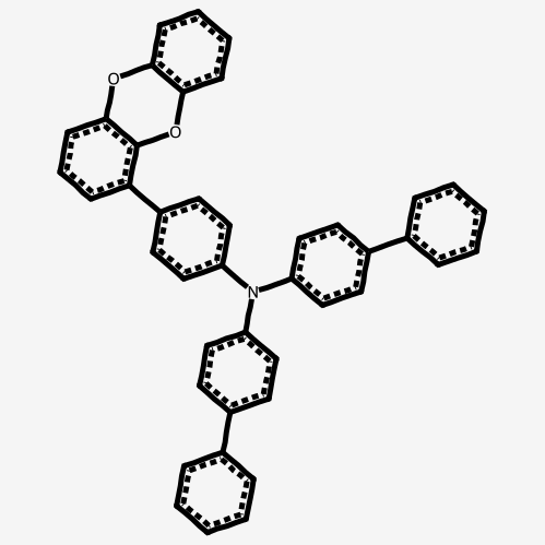 c1ccc(-c2ccc(N(c3ccc(-c4ccccc4)cc3)c3ccc(-c4cccc5c4Oc4ccccc4O5)cc3)cc2)cc1